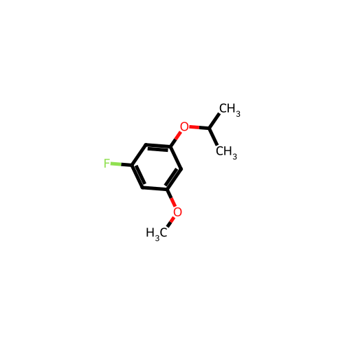 COc1cc(F)cc(OC(C)C)c1